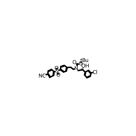 CC(C)(C)OC(=O)N(CCc1ccc(S(=O)(=O)c2ccc(C#N)cc2)cc1)C[C@H](O)c1cccc(Cl)c1